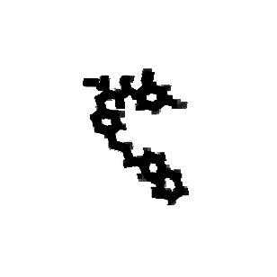 O=C(N[C@@H](Cc1ccc(CCCc2ccc3c(n2)NCCC3)cn1)C(=O)O)c1ccc(F)cc1Cl